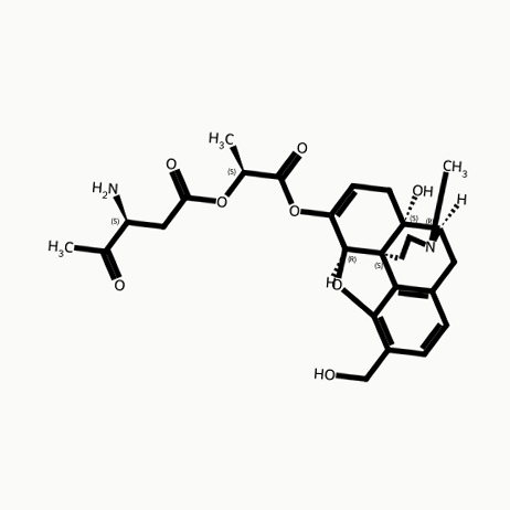 CC(=O)[C@@H](N)CC(=O)O[C@@H](C)C(=O)OC1=CC[C@@]2(O)[C@H]3Cc4ccc(CO)c5c4[C@@]2(CCN3C)[C@H]1O5